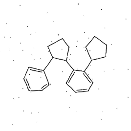 [c]1ccccc1C1CCCC1c1ccccc1C1[CH]CCC1